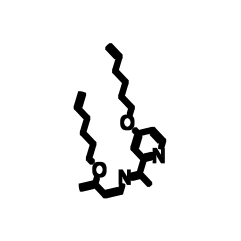 C=CCCCCOC(=C)/C=C\N=C(/C)c1cc(OCCCCC=C)ccn1